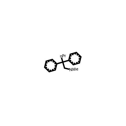 CCCC(CNC)(c1ccccc1)c1ccccc1